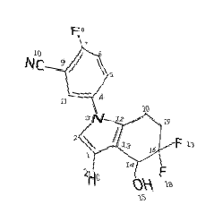 [2H]c1cn(-c2ccc(F)c(C#N)c2)c2c1C(O)C(F)(F)CC2